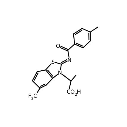 Cc1ccc(C(=O)N=c2sc3ccc(C(F)(F)F)cc3n2C(C)C(=O)O)cc1